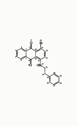 O=C1c2ccccc2C(=O)c2c(NCCc3ccccc3)ccc(Br)c21